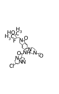 CC(C)(O)C(F)CN1Cc2cc(NC(=O)c3cnn4cc(Cl)cnc34)c(N3CCN(C4COC4)CC3)cc2C1=O